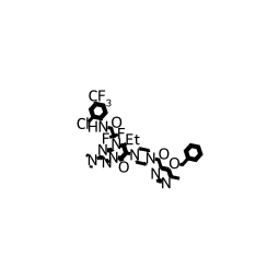 CCc1c(N2CCN(C(=O)c3ncnc(C)c3OCc3ccccc3)CC2)c(=O)n2nc(N(C)C)nc2n1C(F)(F)C(=O)Nc1ccc(C(F)(F)F)cc1Cl